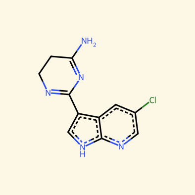 NC1=NC(c2c[nH]c3ncc(Cl)cc23)=NCC1